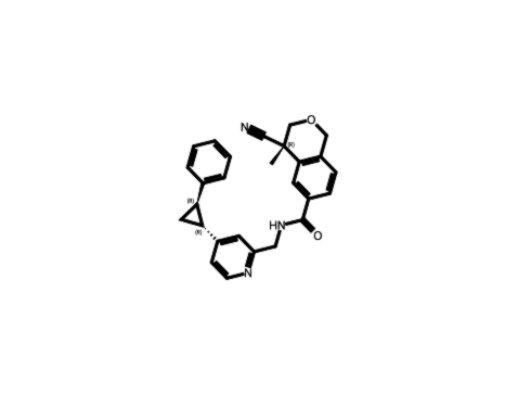 C[C@@]1(C#N)COCc2ccc(C(=O)NCc3cc([C@@H]4C[C@H]4c4ccccc4)ccn3)cc21